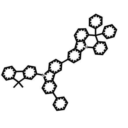 CC1(C)c2ccccc2-c2ccc(-n3c4ccc(-c5ccccc5)cc4c4cc(-c5ccc6c(c5)c5cccc7c5n6-c5ccccc5C7(c5ccccc5)c5ccccc5)ccc43)cc21